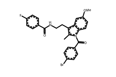 COc1ccc2c(c1)c(CCNC(=O)c1ccc(F)cc1)c(C)n2C(=O)c1ccc(Br)cc1